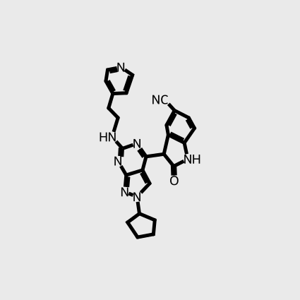 N#Cc1ccc2c(c1)C(c1nc(NCCc3ccncc3)nc3nn(C4CCCC4)cc13)C(=O)N2